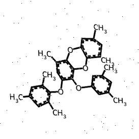 Cc1cc(C)cc(Oc2c(Oc3c(C)cc(C)cc3C)cc(C)c3c2Oc2c(C)cc(C)cc2O3)c1